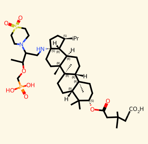 CC(OCP(=O)(O)O)C(CN[C@]12CC[C@@H](C(C)C)[C@@H]1[C@H]1CC[C@@H]3[C@@]4(C)CC[C@H](OC(=O)CC(C)(C)CC(=O)O)C(C)(C)[C@@H]4CC[C@@]3(C)[C@]1(C)CC2)N1CCS(=O)(=O)CC1